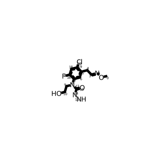 CON=CCc1cc(N(CCO)C(=O)N=N)c(F)cc1Cl